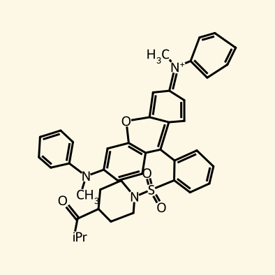 CC(C)C(=O)C1CCN(S(=O)(=O)c2ccccc2-c2c3cc/c(=[N+](/C)c4ccccc4)cc-3oc3cc(N(C)c4ccccc4)ccc23)CC1